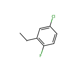 C[CH]c1cc(Cl)ccc1F